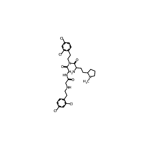 CN1CCCC1CCC(N)C(=O)N(CCc1ccc(Cl)cc1Cl)C(=O)CNC(=O)CNCCc1ccc(Cl)cc1Cl